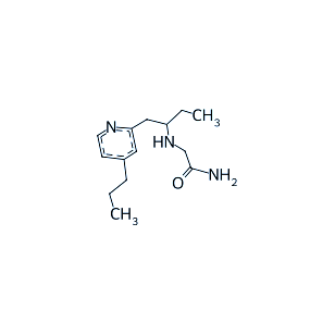 CCCc1ccnc(CC(CC)NCC(N)=O)c1